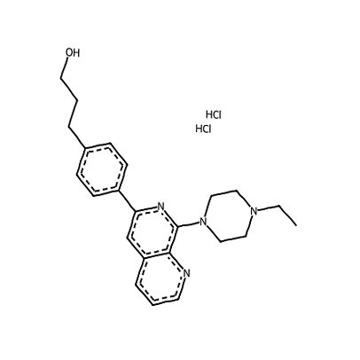 CCN1CCN(c2nc(-c3ccc(CCCO)cc3)cc3cccnc23)CC1.Cl.Cl